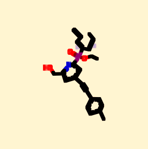 C=C/C=C(\C=C/C)P(=O)(OCC)c1cc(C#Cc2ccc(C)cc2)cc(CO)n1